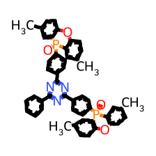 Cc1ccc2c(c1)P(=O)(c1ccc(-c3nc(-c4ccccc4)nc(-c4ccc(P5(=O)c6cc(C)ccc6Oc6ccc(C)cc65)cc4)n3)cc1)c1cc(C)ccc1O2